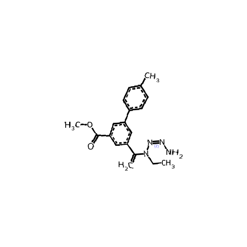 C=C(c1cc(C(=O)OC)cc(-c2ccc(C)cc2)c1)N(CC)/N=N\N